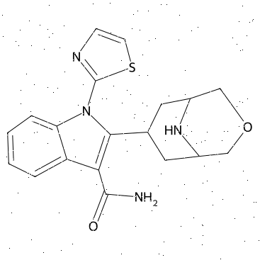 NC(=O)c1c(C2CC3COCC(C2)N3)n(-c2nccs2)c2ccccc12